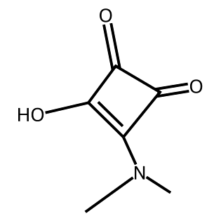 CN(C)c1c(O)c(=O)c1=O